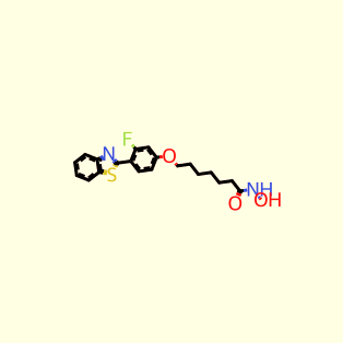 O=C(CCCCCCOc1ccc(-c2nc3ccccc3s2)c(F)c1)NO